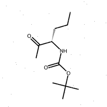 CCC[C@H](NC(=O)OC(C)(C)C)C(C)=O